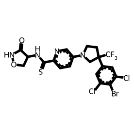 O=C1NOCC1NC(=S)c1ccc(N2CCC(c3cc(Cl)c(Br)c(Cl)c3)(C(F)(F)F)C2)cn1